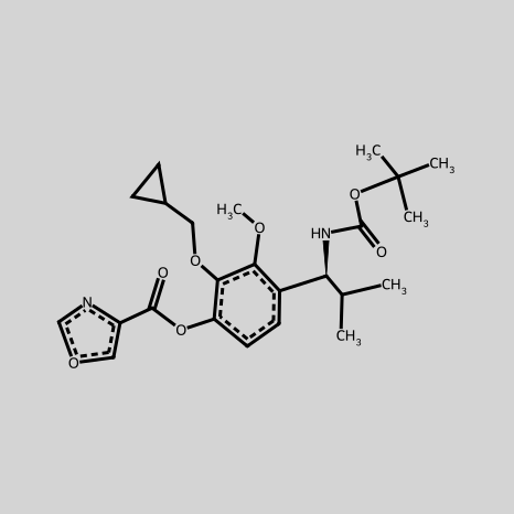 COc1c([C@@H](NC(=O)OC(C)(C)C)C(C)C)ccc(OC(=O)c2cocn2)c1OCC1CC1